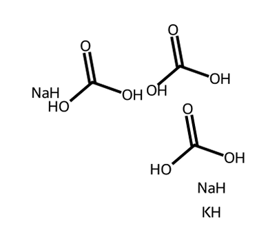 O=C(O)O.O=C(O)O.O=C(O)O.[KH].[NaH].[NaH]